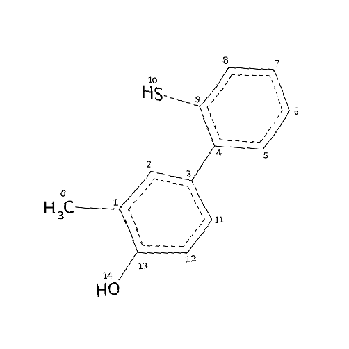 Cc1cc(-c2ccccc2S)ccc1O